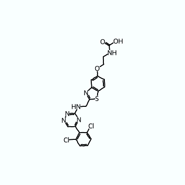 O=C(O)NCCOc1ccc2sc(CNc3nncc(-c4c(Cl)cccc4Cl)n3)nc2c1